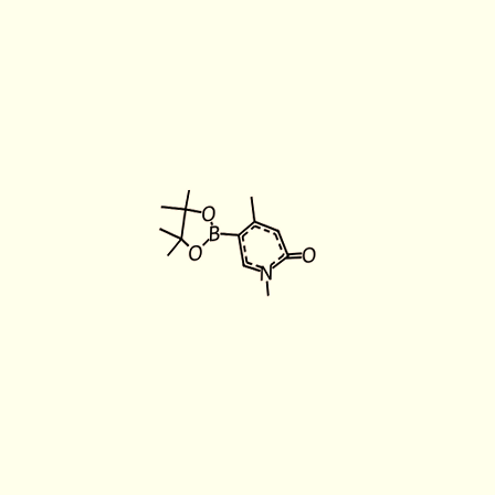 Cc1cc(=O)n(C)cc1B1OC(C)(C)C(C)(C)O1